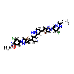 Cc1cn2cc(-n3cc4sc(C5CCNC(C6CC(c7cc8nn(-c9cc(F)c%10nc(C)oc%10c9)cc8s7)CCN6)C5)cc4n3)cc(F)c2n1